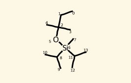 CCC(C)(C)O[Si](C)(C(C)C)C(C)C